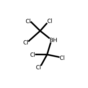 ClC(Cl)(Cl)BC(Cl)(Cl)Cl